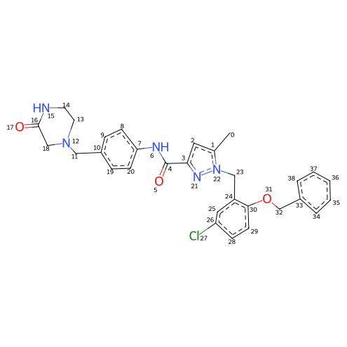 Cc1cc(C(=O)Nc2ccc(CN3CCNC(=O)C3)cc2)nn1Cc1cc(Cl)ccc1OCc1ccccc1